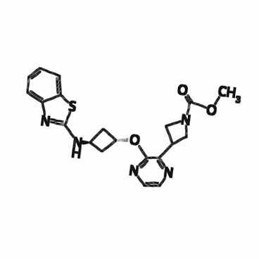 COC(=O)N1CC(c2nccnc2O[C@H]2C[C@H](Nc3nc4ccccc4s3)C2)C1